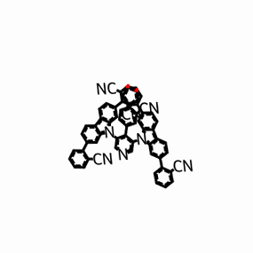 N#Cc1cccc(-c2c(-n3c4cc(-c5ccccc5C#N)ccc4c4ccc(-c5ccccc5C#N)cc43)cncc2-n2c3cc(-c4ccccc4C#N)ccc3c3ccc(-c4ccccc4C#N)cc32)c1